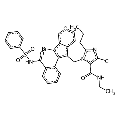 CCCc1nc(Cl)c(C(=O)NCC)n1Cc1c2ccocc-2c(Br)c1-c1ccccc1C(=O)NS(=O)(=O)c1ccccc1